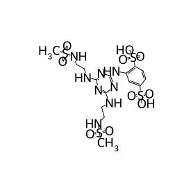 CS(=O)(=O)NCCNc1nc(NCCNS(C)(=O)=O)nc(Nc2cc(S(=O)(=O)O)ccc2S(=O)(=O)O)n1